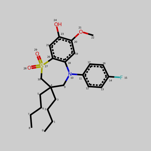 CCCCC1(CCCC)CN(c2ccc(F)cc2)c2cc(OC)c(O)cc2S(=O)(=O)C1